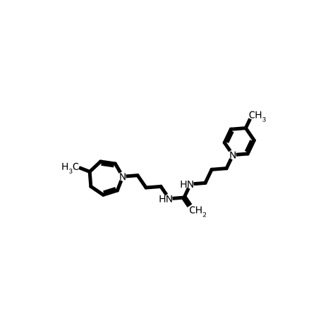 C=C(NCCCN1C=CC(C)C=C1)NCCCN1C=CCC(C)C=C1